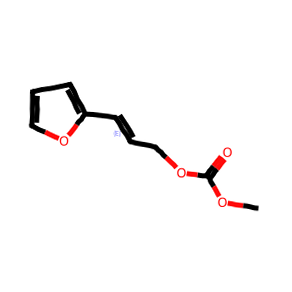 COC(=O)OC/C=C/c1ccco1